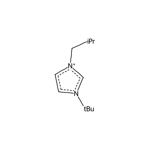 CC(C)C[n+]1ccn(C(C)(C)C)c1